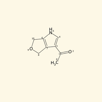 CC(=O)c1c[nH]c2c1COC2